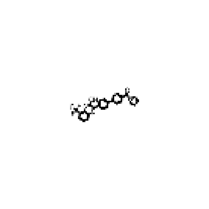 Cc1nc2c(C(F)(F)F)cccc2nc1-c1ccc(-c2ccc(C(=O)N3CCCC3)cc2)cc1